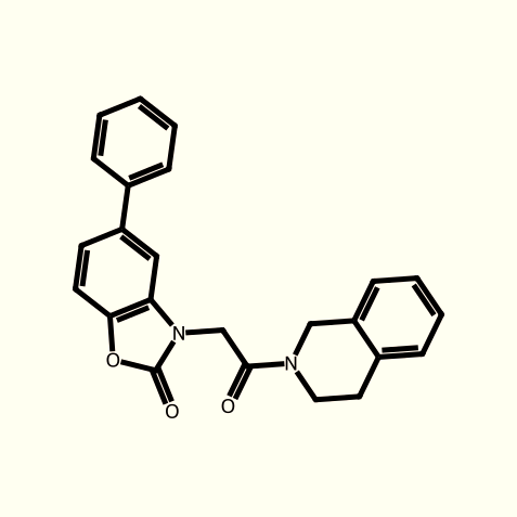 O=C(Cn1c(=O)oc2ccc(-c3ccccc3)cc21)N1CCc2ccccc2C1